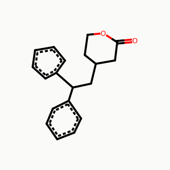 O=C1CC(CC(c2ccccc2)c2ccccc2)CCO1